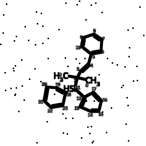 CC(C)(C=Cc1ccccc1)[SiH](c1ccccc1)c1ccccc1